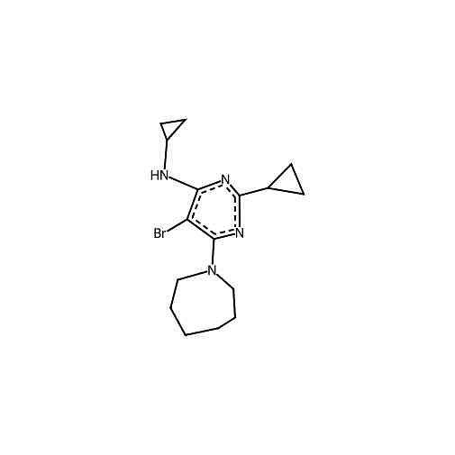 Brc1c(NC2CC2)nc(C2CC2)nc1N1CCCCCC1